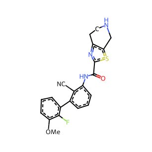 COc1cccc(-c2cccc(NC(=O)c3nc4c(s3)CNCC4)c2C#N)c1F